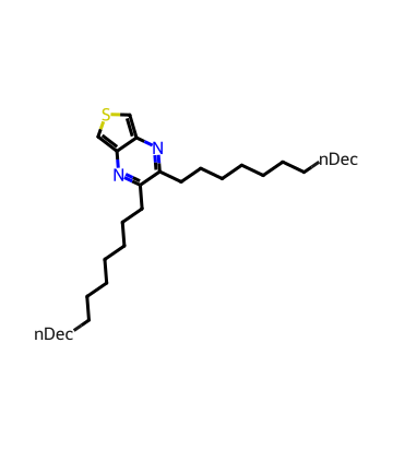 CCCCCCCCCCCCCCCCCc1nc2cscc2nc1CCCCCCCCCCCCCCCCC